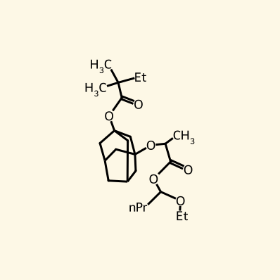 CCCC(OCC)OC(=O)C(C)OC12CC3CC(CC(OC(=O)C(C)(C)CC)(C3)C1)C2